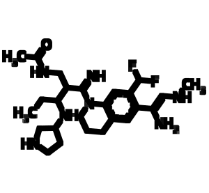 CCC(NC1CCNC1)C(CNC(C)=O)C(=N)N1CCCc2cc(/C(N)=C/NC)c(C(F)F)cc21